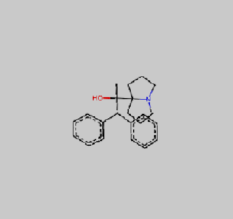 CC(O)(C(c1ccccc1)c1ccccc1)C12CCCN1CCC2